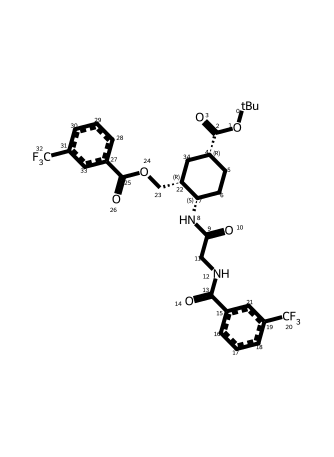 CC(C)(C)OC(=O)[C@@H]1CC[C@H](NC(=O)CNC(=O)c2cccc(C(F)(F)F)c2)[C@H](COC(=O)c2cccc(C(F)(F)F)c2)C1